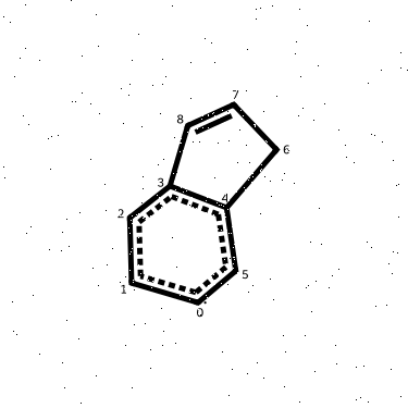 [c]1ccc2c(c1)CC=C2